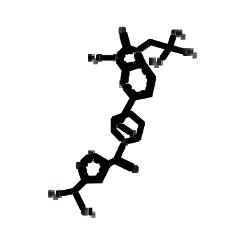 CC(C)c1cc(C(=O)N2CC3CCC2CN3c2ccc3c(n2)n(C)c(=O)n3CC(C)(C)C)no1